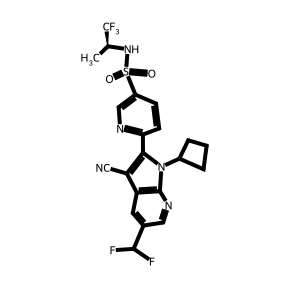 C[C@H](NS(=O)(=O)c1ccc(-c2c(C#N)c3cc(C(F)F)cnc3n2C2CCC2)nc1)C(F)(F)F